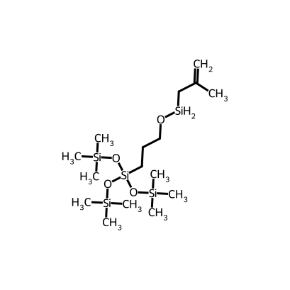 C=C(C)C[SiH2]OCCC[Si](O[Si](C)(C)C)(O[Si](C)(C)C)O[Si](C)(C)C